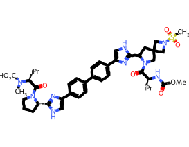 COC(=O)N[C@H](C(=O)N1CC2(CC1c1nc(-c3ccc(-c4ccc(-c5c[nH]c([C@@H]6CCCN6C(=O)[C@H](C(C)C)N(C)C(=O)O)n5)cc4)cc3)c[nH]1)CN(S(C)(=O)=O)C2)C(C)C